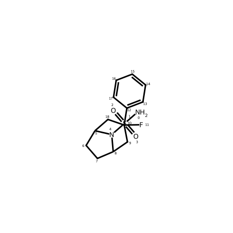 NS(=O)(=O)N1C2CCC1CC(F)(c1ccccc1)C2